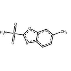 Cc1ccc2nc(S(N)(=O)=O)oc2c1